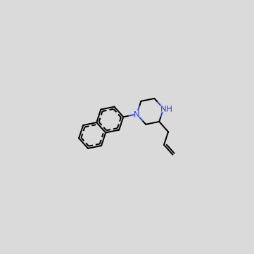 C=CCC1CN(c2ccc3ccccc3c2)CCN1